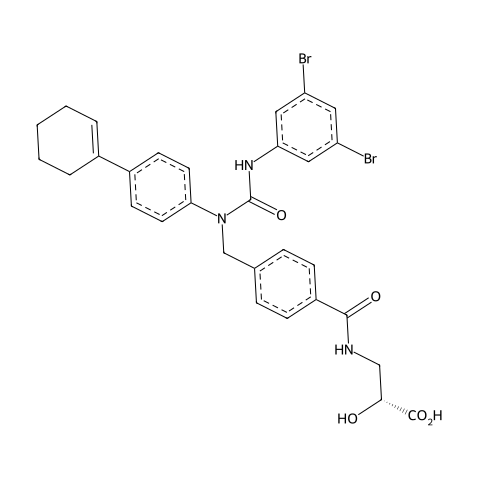 O=C(NC[C@@H](O)C(=O)O)c1ccc(CN(C(=O)Nc2cc(Br)cc(Br)c2)c2ccc(C3=CCCCC3)cc2)cc1